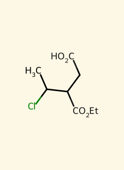 CCOC(=O)C(CC(=O)O)C(C)Cl